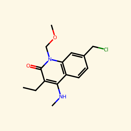 CCc1c(NC)c2ccc(CCl)cc2n(COC)c1=O